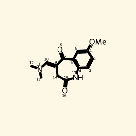 COc1ccc2c(c1)C(=O)C(=CN(C)C)CC(=O)N2